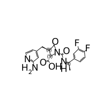 C[C@@H](NC(=O)N1C(=O)[C@H](Cc2ccnc(N)c2)[C@H]1C(=O)O)c1ccc(F)c(F)c1